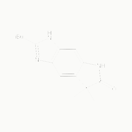 CCC(C)c1nc2cc3c(cc2[nH]1)NC(=O)C3(C)C